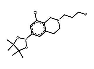 CC1(C)OB(c2cc(Cl)c3c(c2)CCN(CCCF)C3)OC1(C)C